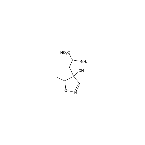 CC1ON=CC1(O)CC(N)C(=O)O